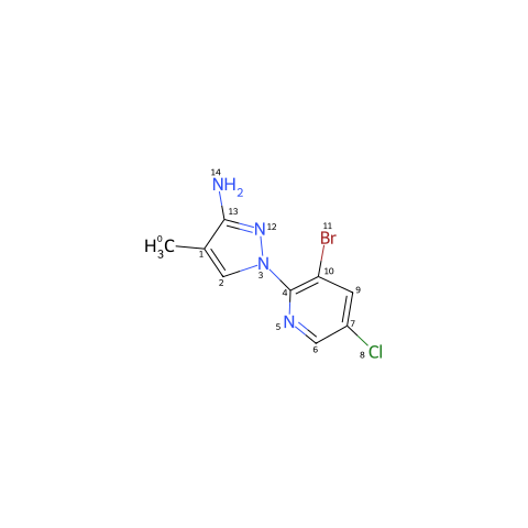 Cc1cn(-c2ncc(Cl)cc2Br)nc1N